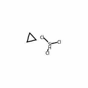 C1CC1.Cl[SiH](Cl)Cl